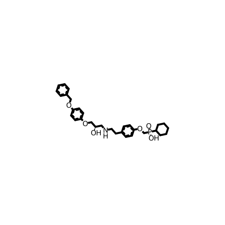 O=P(O)(COc1ccc(CCNC[C@H](O)COc2ccc(OCc3ccccc3)cc2)cc1)C1CCCCC1